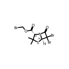 CC1(C)S[C@H]2N(C(=O)C2(Br)Br)[C@H]1C(=O)OCBr